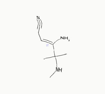 CNC(C)(C)/C(N)=C/C#N